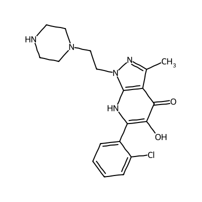 Cc1nn(CCN2CCNCC2)c2[nH]c(-c3ccccc3Cl)c(O)c(=O)c12